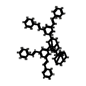 C(=C\c1cc(/C=C/c2ccccc2)cc(C23CC4CC(c5cc(/C=C/c6ccccc6)cc(/C=C/c6ccccc6)c5)(C2)CC(C25CC6CC(CC(C6)C2)C5)(C4)C3)c1)/c1ccccc1